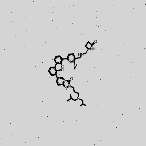 COc1nc(-c2cccc(-c3cccc(-c4ccc5nn(CCCN(CC(C)C)CC(C)C)c(=O)n5c4)c3Cl)c2Cl)ccc1CNC[C@H]1CCC(=O)N1